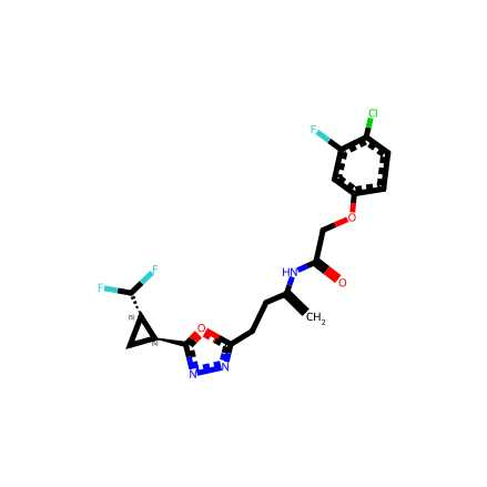 C=C(CCc1nnc([C@H]2C[C@@H]2C(F)F)o1)NC(=O)COc1ccc(Cl)c(F)c1